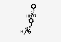 CS(=O)(=O)OCCc1ccc(NC(=O)OCc2ccccc2)cc1